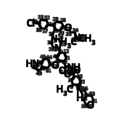 Cc1cc(S(=O)(=O)NC(=O)c2ccc(N3CCN(Cc4cc(OCCN(C)C)ccc4-c4ccc(Cl)cc4)CC3)cc2Oc2ccc3[nH]ccc3c2)ccc1NCC1CCOCC1